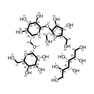 OC[C@@H](O)[C@@H](O)[C@H](O)[C@@H](O)CO.OC[C@H]1O[C@H](OC[C@H]2O[C@H](O[C@]3(CO)O[C@H](CO)[C@@H](O)[C@@H]3O)[C@H](O)[C@@H](O)[C@@H]2O)[C@H](O)[C@@H](O)[C@H]1O